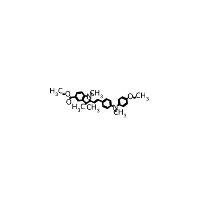 CCOC(=O)c1ccc2c(c1)C(C)(C)C(/C=C/c1ccc(N(C)c3ccc(OCC)cc3)cc1)=[N+]2C